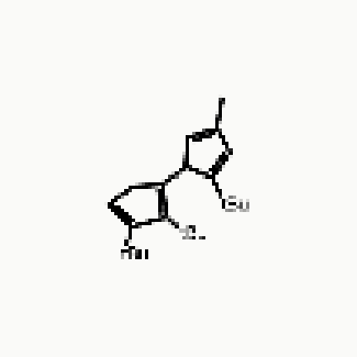 CC1=CC(C2=C(C(C)(C)C)C(C(C)(C)C)=CC2)C(C(C)(C)C)=[C]1